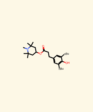 CCCCc1cc(CCC(=O)OC2CC(C)(C)N(C)C(C)(C)C2)cc(CCCC)c1O